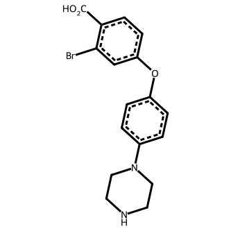 O=C(O)c1ccc(Oc2ccc(N3CCNCC3)cc2)cc1Br